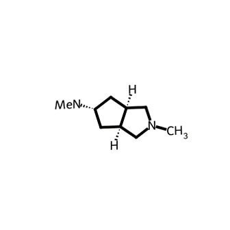 CN[C@H]1C[C@@H]2CN(C)C[C@@H]2C1